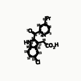 CC(C)c1ccnc(C(=O)c2[nH]c3ccc(Cl)cc3c2CC(=O)O)c1